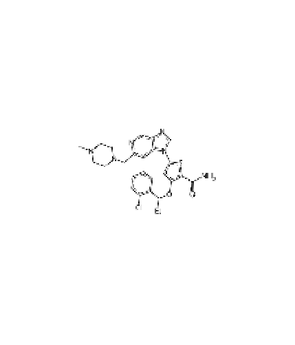 CCC(Oc1cc(-n2cnc3cnc(CN4CCN(C)CC4)cc32)sc1C(N)=O)c1ccccc1Cl